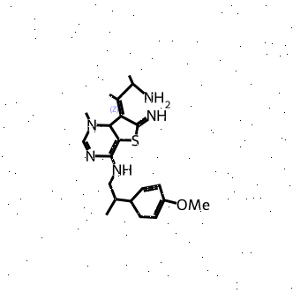 COC1=CCC(C(C)CNC2=C3SC(=N)/C(=C(/C)C(C)N)C3N(C)C=N2)C=C1